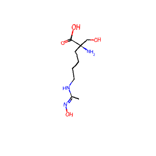 C/C(=N\O)NCCCC[C@@](N)(CO)C(=O)O